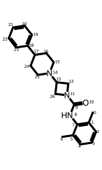 Cc1cccc(C)c1NC(=O)N1CC(N2CCC(c3ccccc3)CC2)C1